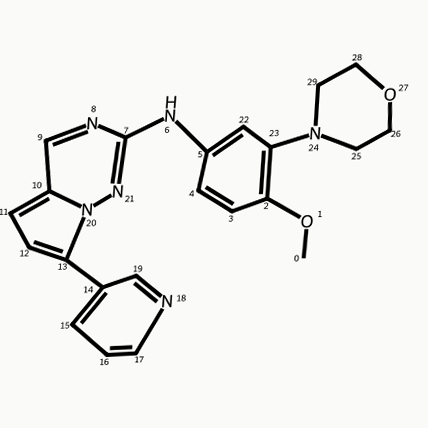 COc1ccc(Nc2ncc3ccc(-c4cccnc4)n3n2)cc1N1CCOCC1